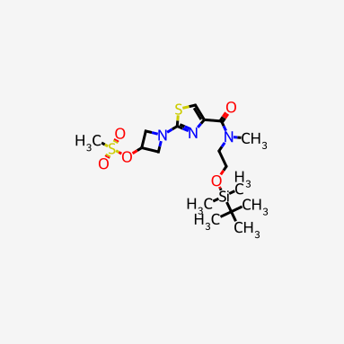 CN(CCO[Si](C)(C)C(C)(C)C)C(=O)c1csc(N2CC(OS(C)(=O)=O)C2)n1